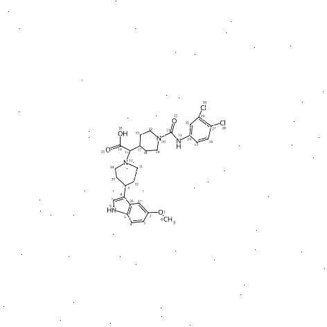 COc1ccc2[nH]cc(C3CCN(C(C(=O)O)C4CCN(C(=O)Nc5ccc(Cl)c(Cl)c5)CC4)CC3)c2c1